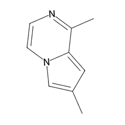 Cc1cc2c(C)nccn2c1